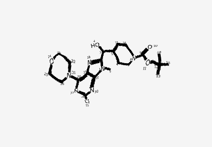 Cn1c(C(O)C2CCN(C(=O)OC(C)(C)C)CC2)nc2c(N3CCOCC3)nc(Cl)nc21